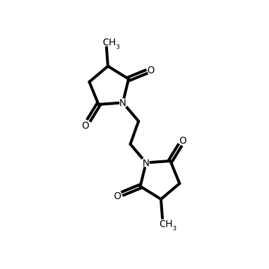 CC1CC(=O)N(CCN2C(=O)CC(C)C2=O)C1=O